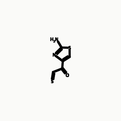 Nc1nc(C(=O)C=S)cs1